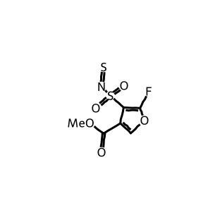 COC(=O)c1coc(F)c1S(=O)(=O)N=S